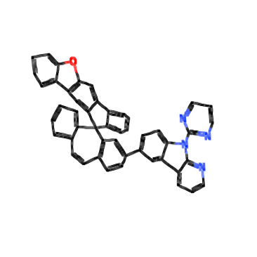 C1=Cc2ccc(-c3ccc4c(c3)c3cccnc3n4-c3ncccn3)cc2C2(c3ccccc31)c1ccccc1-c1cc3oc4ccccc4c3cc12